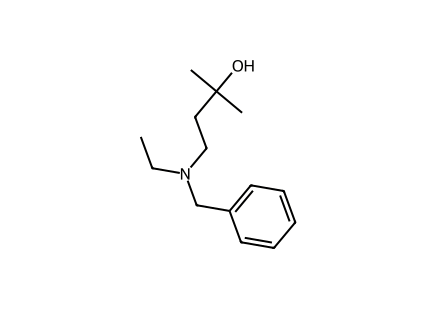 CCN(CCC(C)(C)O)Cc1ccccc1